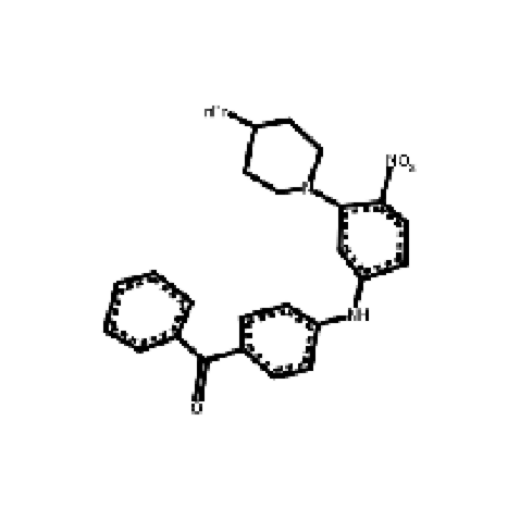 CCCC1CCN(c2cc(Nc3ccc(C(=O)c4ccccc4)cc3)ccc2[N+](=O)[O-])CC1